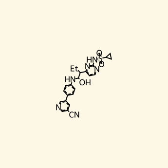 CCC(c1ccnc(NS(=O)(=O)C2CC2)n1)C(O)Nc1ccc(-c2cncc(C#N)c2)cc1